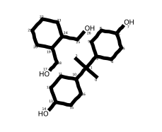 CC(C)(C1CCC(O)CC1)C1CCC(O)CC1.OCC1CCCCC1CO